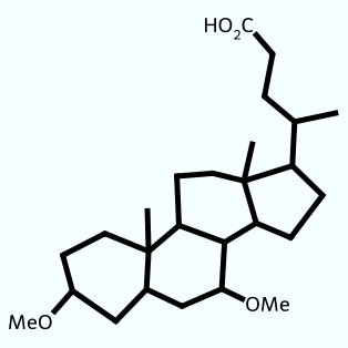 COC1CCC2(C)C(C1)CC(OC)C1C2CCC2(C)C(C(C)CCC(=O)O)CCC12